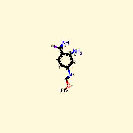 CCOC=Nc1ccc(C(=N)I)c(N)c1